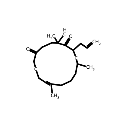 C=CCC1CC(C)CCCC(C)=CCCCC(=O)CCC(C)(C)C1=O